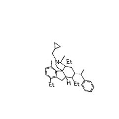 CCc1ccc(C)c2c1C[C@H]1C(CC)[C@@H](C(C)c3ccccc3)C[C@]3(CC)C(C)N(CC4CC4)CCC213